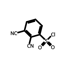 N#Cc1cccc(S(=O)(=O)Cl)c1C#N